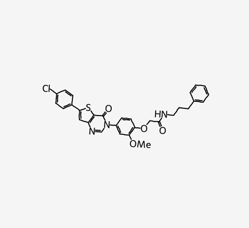 COc1cc(-n2cnc3cc(-c4ccc(Cl)cc4)sc3c2=O)ccc1OCC(=O)NCCCc1ccccc1